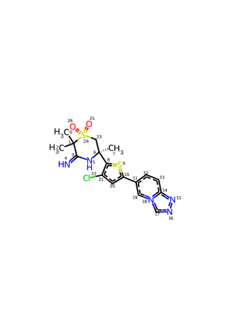 CC1(C)C(=N)N[C@](C)(c2sc(-c3ccc4nncn4c3)cc2Cl)CS1(=O)=O